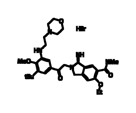 Br.CCOc1cc2c(cc1C(=O)NC)C(=N)N(CC(=O)c1cc(NCCN3CCOCC3)c(OC)c(C(C)(C)C)c1)C2